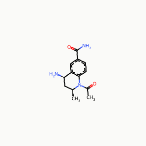 CC(=O)N1c2ccc(C(N)=O)cc2[C@H](N)C[C@@H]1C